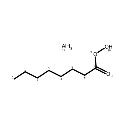 CCCCCCCC(=O)OO.[AlH3]